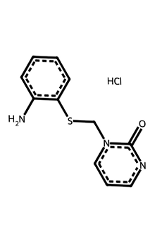 Cl.Nc1ccccc1SCn1cccnc1=O